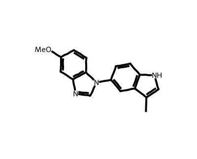 COc1ccc2c(c1)ncn2-c1ccc2[nH]cc(C)c2c1